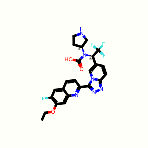 CCOc1cc2nc(-c3nnc4ccc([C@@H](N(C(=O)O)[C@H]5CCNC5)C(F)(F)F)cn34)ccc2cc1F